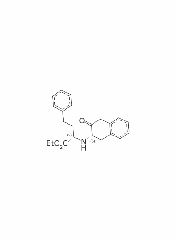 CCOC(=O)[C@H](CCc1ccccc1)N[C@H]1Cc2ccccc2CC1=O